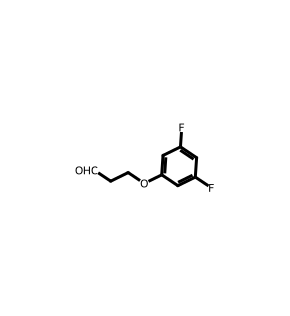 O=CCCOc1cc(F)cc(F)c1